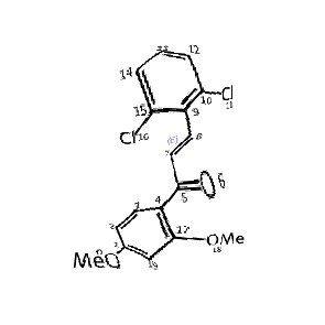 COc1ccc(C(=O)/C=C/c2c(Cl)cccc2Cl)c(OC)c1